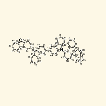 c1ccc2c(c1)-c1c(-n3c4ccccc4c4cc(-c5ccc6c(c5)c5ccccc5n6-c5ccc6oc7ccccc7c6c5)ccc43)cccc1C21C2CC3CC(C2)CC1C3